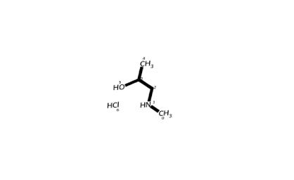 CNCC(C)O.Cl